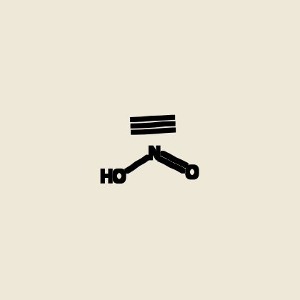 C#C.O=NO